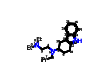 CCN(CC)CCN(CC(C)C)C1CCc2[nH]c3ccccc3c2C1